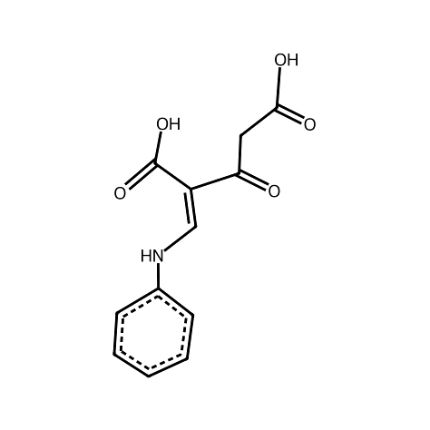 O=C(O)CC(=O)C(=CNc1ccccc1)C(=O)O